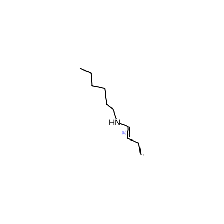 [CH2]C/C=C/NCCCCCC